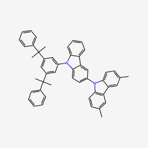 Cc1ccc2c(c1)c1cc(C)ccc1n2-c1ccc2c(c1)c1ccccc1n2-c1cc(C(C)(C)c2ccccc2)cc(C(C)(C)c2ccccc2)c1